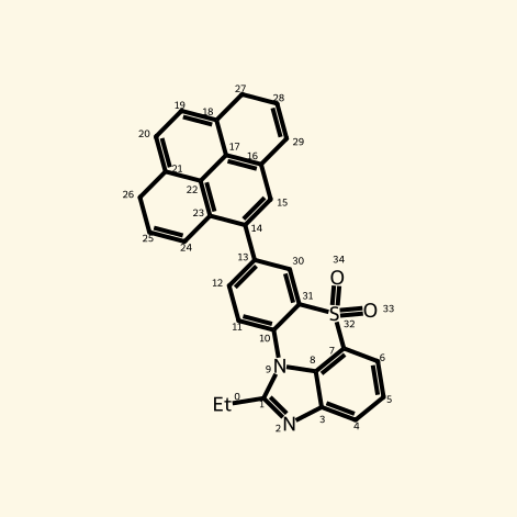 CCc1nc2cccc3c2n1-c1ccc(-c2cc4c5c(ccc6c5c2C=CC6)CC=C4)cc1S3(=O)=O